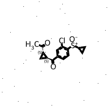 CC(=O)[C@H]1C[C@@H]1C(=O)c1ccc([S+]([O-])C2CC2)c(Cl)c1